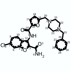 NC(=O)c1oc2cc(Cl)ccc2c1NC(=O)c1ccc(CN2CCN(Cc3ccccc3)CC2)o1